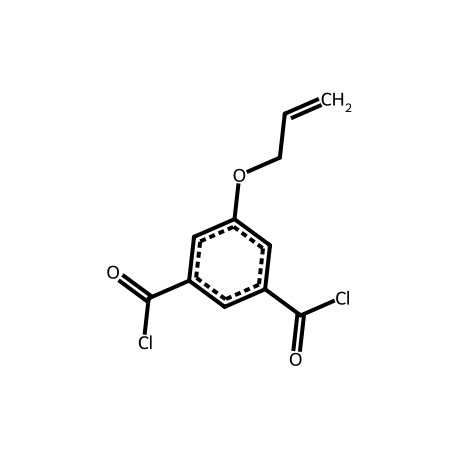 C=CCOc1cc(C(=O)Cl)cc(C(=O)Cl)c1